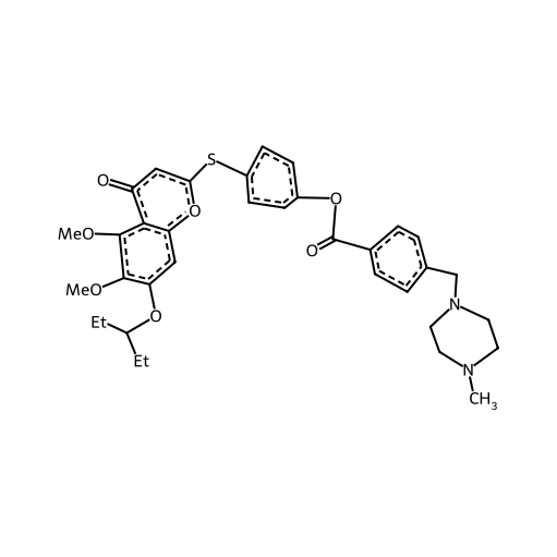 CCC(CC)Oc1cc2oc(Sc3ccc(OC(=O)c4ccc(CN5CCN(C)CC5)cc4)cc3)cc(=O)c2c(OC)c1OC